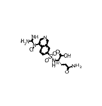 N=C(N)N(Cl)c1cncc2cc(S(=O)(=O)N[C@@H](CCC(N)=O)C(=O)O)ccc12